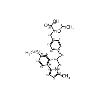 CCO[C@@H](Cc1ccc(OCCn2c(C)ccc2C2=C=C=C(SC)C=C2)cc1)C(=O)O